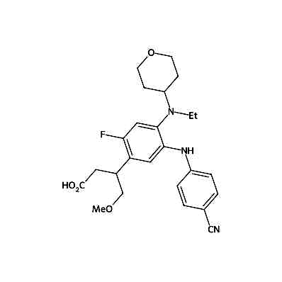 CCN(c1cc(F)c(C(COC)CC(=O)O)cc1Nc1ccc(C#N)cc1)C1CCOCC1